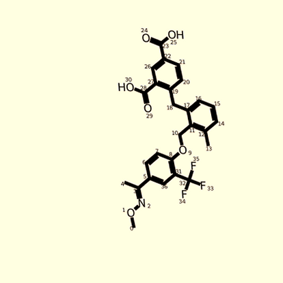 CON=C(C)c1ccc(OCc2c(C)cccc2Cc2ccc(C(=O)O)cc2C(=O)O)c(C(F)(F)F)c1